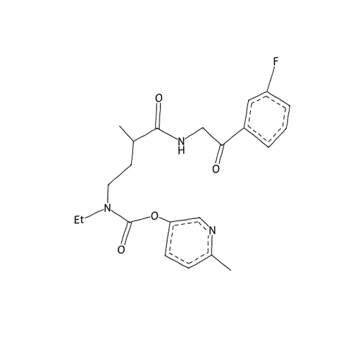 CCN(CCC(C)C(=O)NCC(=O)c1cccc(F)c1)C(=O)Oc1ccc(C)nc1